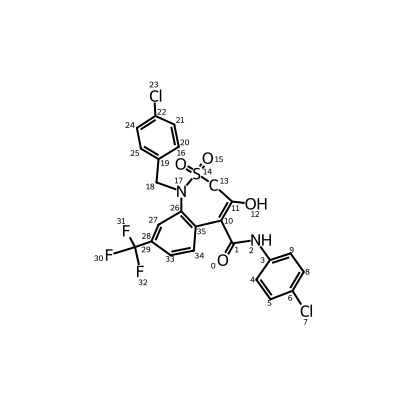 O=C(Nc1ccc(Cl)cc1)C1=C(O)CS(=O)(=O)N(Cc2ccc(Cl)cc2)c2cc(C(F)(F)F)ccc21